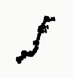 CCN(CCCC(=O)NCCOCCOCCNC(=O)CC(=O)NCCCCCCOP(OCCC#N)N(C(C)C)C(C)C)c1ccc(N=Nc2cc(OC)c(N=Nc3ccc([N+](=O)[O-])cc3)cc2OC)cc1